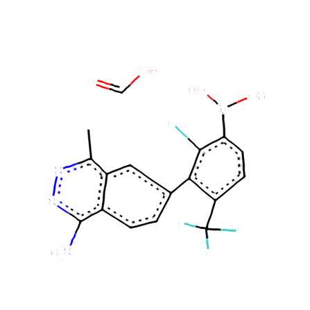 Cc1nnc(N)c2ccc(-c3c(C(F)(F)F)ccc(B(O)O)c3F)cc12.O=CO